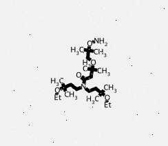 CCOC(C)(C)CCN(CCC(C)(C)OCC)C(=O)CC(C)(C)OCC(C)(C)ON